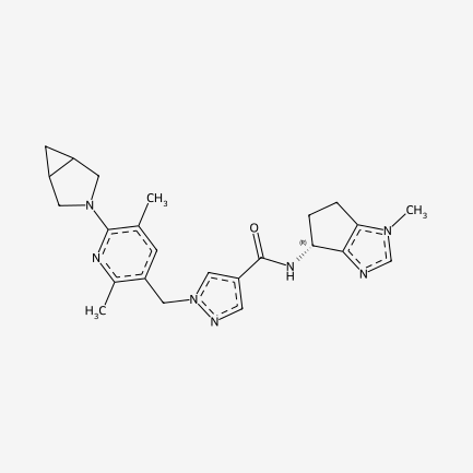 Cc1cc(Cn2cc(C(=O)N[C@@H]3CCc4c3ncn4C)cn2)c(C)nc1N1CC2CC2C1